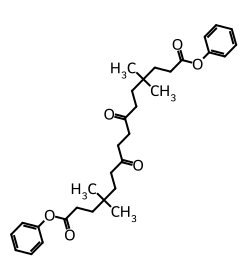 CC(C)(CCC(=O)CCC(=O)CCC(C)(C)CCC(=O)Oc1ccccc1)CCC(=O)Oc1ccccc1